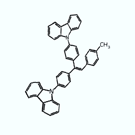 Cc1ccc(C=C(c2ccc(-n3c4ccccc4c4ccccc43)cc2)c2ccc(-n3c4ccccc4c4ccccc43)cc2)cc1